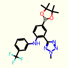 Cn1nnc(-c2cc(B3OC(C)(C)C(C)(C)O3)ccc2Nc2cccc(C(F)(F)F)c2)n1